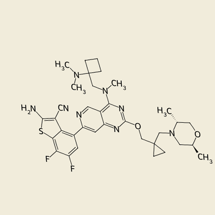 C[C@@H]1CO[C@@H](C)CN1CC1(COc2nc(N(C)CC3(N(C)C)CCC3)c3cnc(-c4cc(F)c(F)c5sc(N)c(C#N)c45)cc3n2)CC1